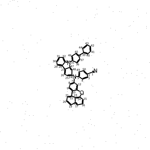 N#Cc1ccc(N(c2ccc3c(c2)Oc2cccc4cccc-3c24)c2ccc3c4ccccc4n(-c4ccc(-c5ccccc5)cc4)c3c2)cc1